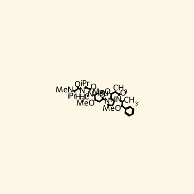 CCC(C)C(C(CC(=O)N1CCCC1C(OC)C(C)C(=O)NC(C)C(OC)c1ccccc1)OC)N(C)C(=O)C(NC(=O)C(NC)C(C)C)C(C)C